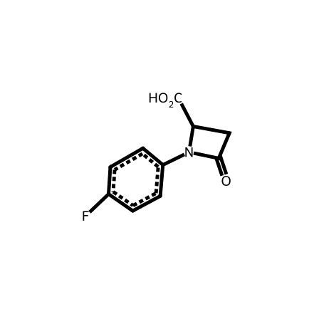 O=C(O)C1CC(=O)N1c1ccc(F)cc1